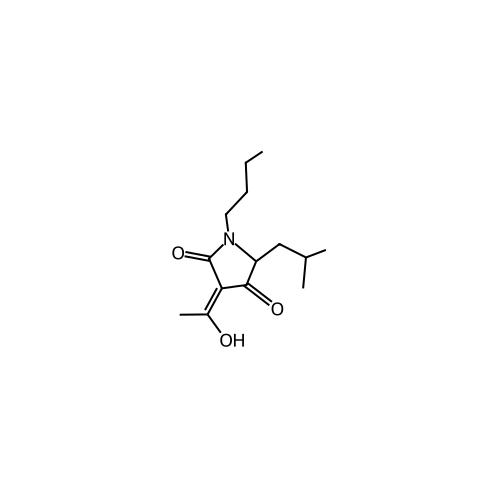 CCCCN1C(=O)C(=C(C)O)C(=O)C1CC(C)C